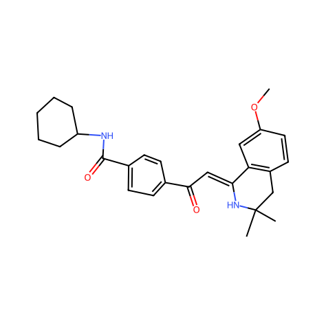 COc1ccc2c(c1)C(=CC(=O)c1ccc(C(=O)NC3CCCCC3)cc1)NC(C)(C)C2